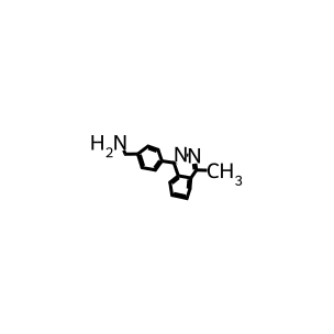 Cc1nnc(-c2ccc(CN)cc2)c2ccccc12